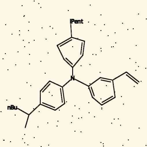 C=Cc1cccc(N(c2ccc(C(C)CCC)cc2)c2ccc(C(C)CCCC)cc2)c1